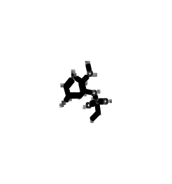 CCS(=O)(=O)Oc1cc(F)cnc1OC